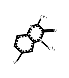 Cc1nc2ccc(Br)cc2n(C)c1=O